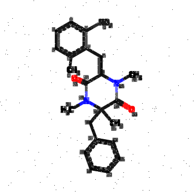 Cc1cccc([N+](=O)[O-])c1C=C1C(=O)N(C)C(C)(Cc2ccccc2)C(=O)N1C